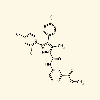 COC(=O)c1cccc(NC(=O)c2nn(-c3ccc(Cl)cc3Cl)c(-c3ccc(Cl)cc3)c2C)c1